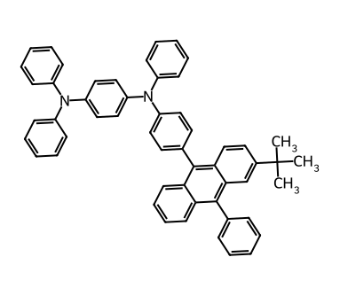 CC(C)(C)c1ccc2c(-c3ccc(N(c4ccccc4)c4ccc(N(c5ccccc5)c5ccccc5)cc4)cc3)c3ccccc3c(-c3ccccc3)c2c1